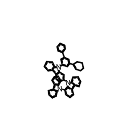 C1=C(c2cc(-c3ccccc3)cc(-n3c4ccccc4c4ccc(-n5c6ccccc6c6cccc(-n7c8ccccc8c8ccccc87)c65)cc43)c2)CCCC1